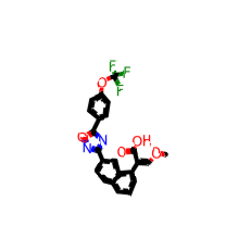 COC=C(C(=O)O)c1cccc2ccc(-c3noc(-c4ccc(OC(F)(F)F)cc4)n3)cc12